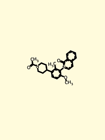 COc1ccc(C2CCN(C(C)=O)CC2)c(C)c1-n1ccc2ccccc2c1=O